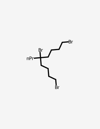 [CH2]CCC(Br)(CCCCBr)CCCCBr